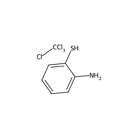 ClC(Cl)(Cl)Cl.Nc1ccccc1S